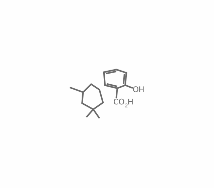 CC1CCCC(C)(C)C1.O=C(O)c1ccccc1O